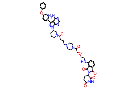 Nc1ncnc2c1c(-c1ccc(Oc3ccccc3)cc1)nn2C1CCCN(C(=O)CCCN2CCN(C(=O)COCCNc3cccc4c3C(=O)N(C3CCC(=O)NC3=O)C4=O)CC2)C1